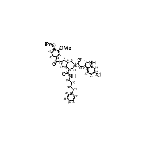 COc1cc(C(=O)N2CC3CN(C(=O)Cc4c[nH]c5cc(Cl)ccc45)CC(C(=O)NCCCCc4ccccc4)C3C2)ccc1OC(C)C